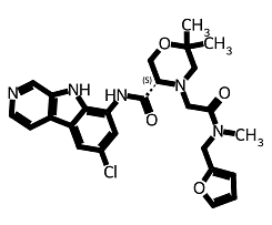 CN(Cc1ccco1)C(=O)CN1CC(C)(C)OC[C@H]1C(=O)Nc1cc(Cl)cc2c1[nH]c1cnccc12